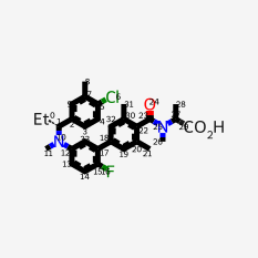 CC[C@H](c1ccc(Cl)c(C)c1)N(C)c1ccc(F)c(-c2cc(C)c(C(=O)N(C)C(C)C(=O)O)c(C)c2)c1